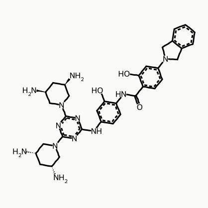 N[C@@H]1C[C@H](N)CN(c2nc(Nc3ccc(NC(=O)c4ccc(N5Cc6ccccc6C5)cc4O)c(O)c3)nc(N3C[C@H](N)C[C@H](N)C3)n2)C1